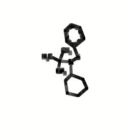 CC(C)(C)N(Sc1ccccc1)C1CCCCC1